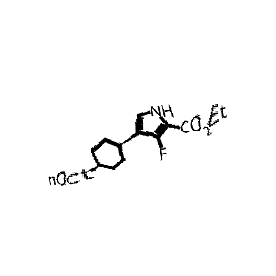 CCCCCCCC[C@H]1CC[C@@H](c2c[nH]c(C(=O)OCC)c2F)CC1